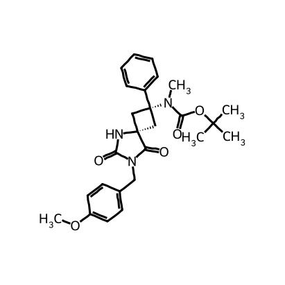 COc1ccc(CN2C(=O)N[C@]3(C[C@@](c4ccccc4)(N(C)C(=O)OC(C)(C)C)C3)C2=O)cc1